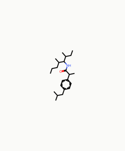 CCCC(C)C(NC(=O)C(C)c1ccc(CC(C)C)cc1)C(C)CC